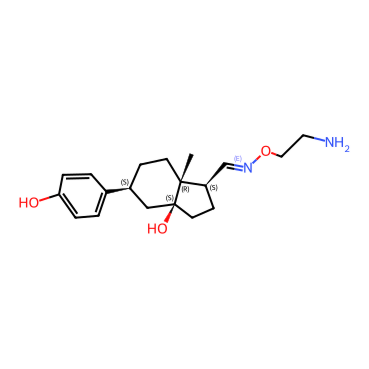 C[C@]12CC[C@H](c3ccc(O)cc3)C[C@@]1(O)CC[C@@H]2/C=N/OCCN